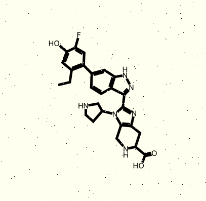 CCc1cc(O)c(F)cc1-c1ccc2c(-c3nc4c(n3C3CCNC3)CNC(C(=O)O)C4)n[nH]c2c1